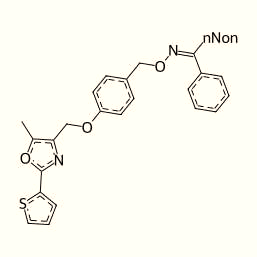 CCCCCCCCCC(=NOCc1ccc(OCc2nc(-c3cccs3)oc2C)cc1)c1ccccc1